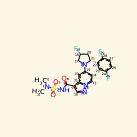 CN(C)S(=O)(=O)NC(=O)c1cnn2ccc(N3C[C@@H](F)C[C@@H]3c3cc(F)ccc3F)cc12